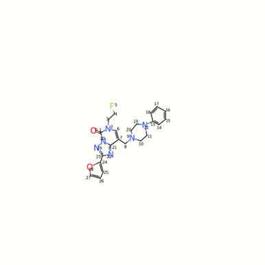 O=c1n(CCF)cc(CN2CCN(c3ccccc3)CC2)c2nc(-c3ccco3)nn12